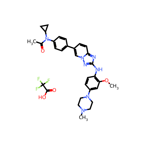 COc1cc(N2CCN(C)CC2)ccc1Nc1nc2ccc(-c3ccc(N(C(C)=O)C4CC4)cc3)cn2n1.O=C(O)C(F)(F)F